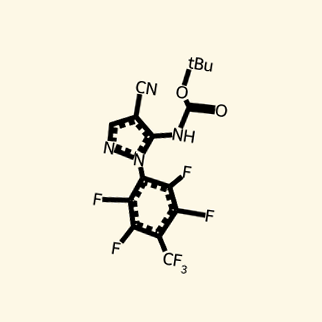 CC(C)(C)OC(=O)Nc1c(C#N)cnn1-c1c(F)c(F)c(C(F)(F)F)c(F)c1F